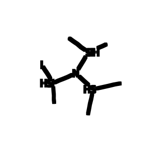 C[SiH](C)N([SiH](C)I)[SH](C)C